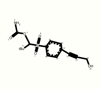 CC(C)(C)C(OC(N)=O)S(=O)(=O)c1ccc(C#CCO)cc1